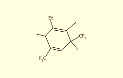 CCC1=C(C)C(C)(C(F)(F)F)C=C(C(F)(F)F)C1C